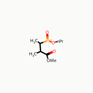 CCCO[PH](=O)C(C)C(C)C(=O)OC